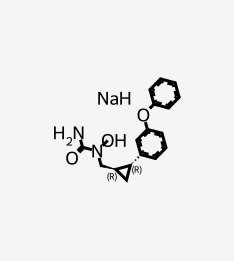 NC(=O)N(O)C[C@@H]1C[C@H]1c1cccc(Oc2ccccc2)c1.[NaH]